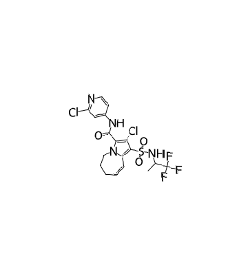 CC(NS(=O)(=O)c1c(Cl)c(C(=O)Nc2ccnc(Cl)c2)n2c1C=CCCC2)C(F)(F)F